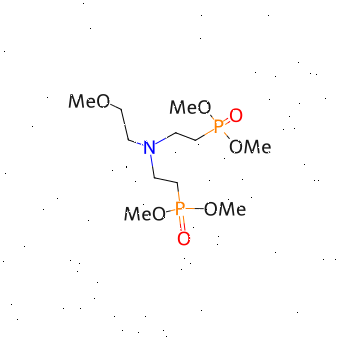 COCCN(CCP(=O)(OC)OC)CCP(=O)(OC)OC